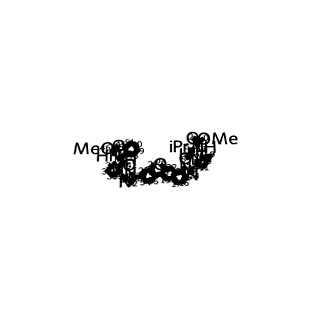 COC(=O)N[C@H](C(=O)N1[C@@H]2CC2C[C@H]1c1nc2ccc3cc4c(cc3c2[nH]1)OCc1cc(-c2cnc([C@@H]3CCCN3C(=O)[C@H](NC(=O)OC)c3ccccc3)[nH]2)ccc1-4)C(C)C